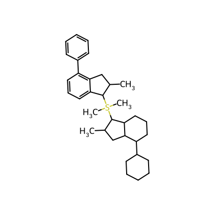 CC1Cc2c(-c3ccccc3)cccc2C1S(C)(C)C1C(C)CC2C(C3CCCCC3)CCCC21